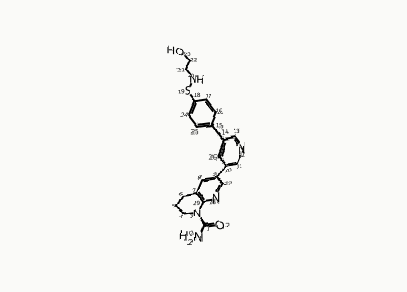 NC(=O)N1CCCc2cc(-c3cncc(-c4ccc(SNCCO)cc4)c3)cnc21